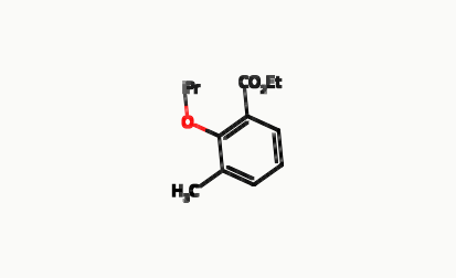 CCOC(=O)c1cccc(C)c1OC(C)C